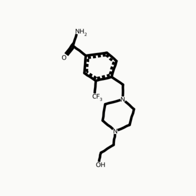 NC(=O)c1ccc(CN2CCN(CCO)CC2)c(C(F)(F)F)c1